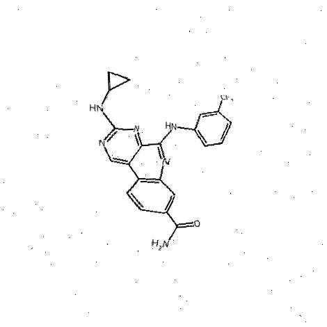 NC(=O)c1ccc2c(c1)nc(Nc1cccc(C(F)(F)F)c1)c1nc(NC3CC3)ncc12